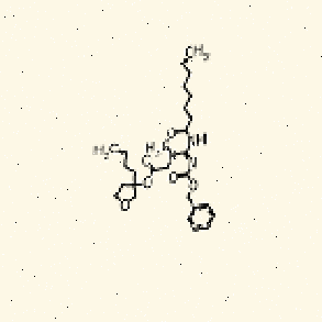 C=CCCCCCC(=O)N/C(=N/C(=O)OCc1ccccc1)N(C)CC(=O)OC1(CCC=C)CCOC1